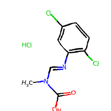 CN(C=Nc1cc(Cl)ccc1Cl)C(=O)O.Cl